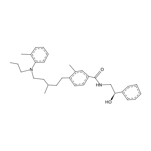 CCCN(CCC(C)CCc1ccc(C(=O)NC[C@H](O)c2ccccc2)cc1C)c1ccccc1C